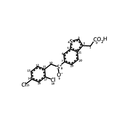 O=C(O)Cc1csc2cc([S+]([O-])Cc3ccc(Cl)cc3Cl)ccc12